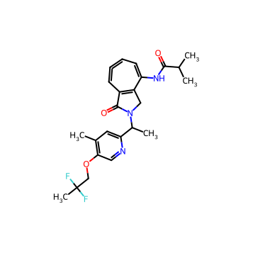 Cc1cc(C(C)N2CC3=C(C=C=CC=C3NC(=O)C(C)C)C2=O)ncc1OCC(C)(F)F